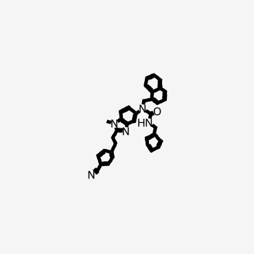 Cn1c(CCc2ccc(C#N)cc2)nc2cc(N(Cc3cccc4ccccc34)C(=O)NCc3ccccc3)ccc21